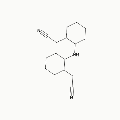 N#CCC1CCCCC1NC1CCCCC1CC#N